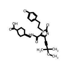 COC(C)(C)C#Cc1nc(Cl)n(CCc2ccc(Cl)cc2)c1C(=O)NC=C1CCC(C(=O)O)CC1